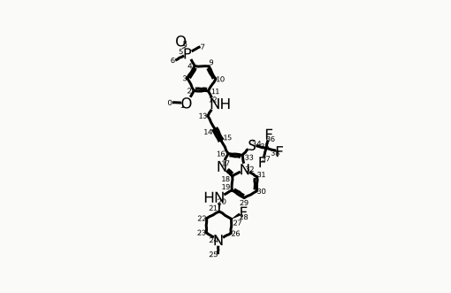 COc1cc(P(C)(C)=O)ccc1NCC#Cc1nc2c(N[C@@H]3CCN(C)C[C@@H]3F)cccn2c1SC(F)(F)F